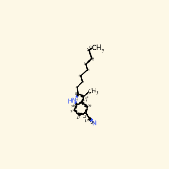 CCCCCCCCc1[nH]c2ccc(C#N)cc2c1C